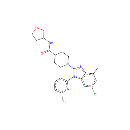 Cc1cc(Cl)cc2c1nc(N1CCC(C(=O)NC3CCOC3)CC1)n2-c1cccc(C(F)(F)F)n1